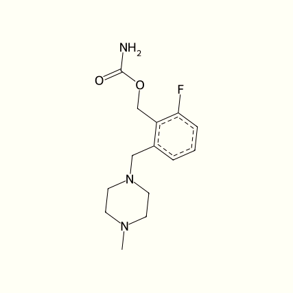 CN1CCN(Cc2cccc(F)c2COC(N)=O)CC1